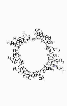 C/C=C/C[C@@H](C)[C@@H](O)[C@H]1C(=O)N[C@@H](CC)C(=O)N(C)[C@H](CO)C(=O)N(C)[C@@H](CC(C)C)C(=O)N[C@@H](C(C)C)C(=O)N(C)[C@@H](CC(C)C)C(=O)N[C@@H](C)C(=O)N[C@@H](C)C(=O)N(C)[C@@H](CCC)C(=O)N(C)[C@@H](CC(C)C)C(=O)N(C)[C@@H](C(C)C)C(=O)N1C